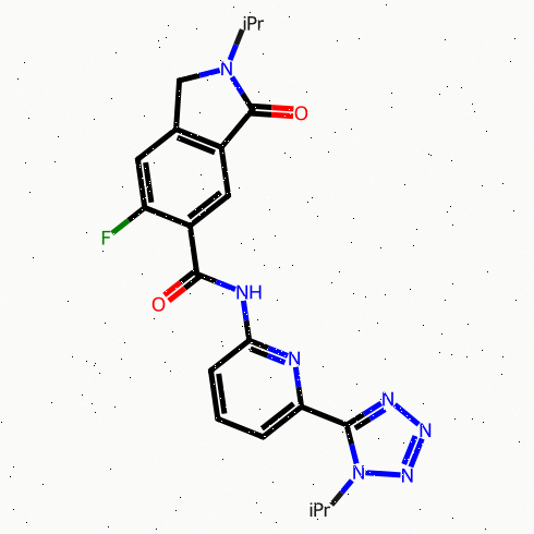 CC(C)N1Cc2cc(F)c(C(=O)Nc3cccc(-c4nnnn4C(C)C)n3)cc2C1=O